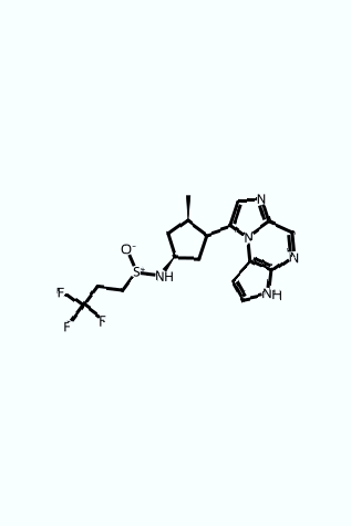 C[C@@H]1C[C@H](N[S+]([O-])CCC(F)(F)F)CC1c1cnc2cnc3[nH]ccc3n12